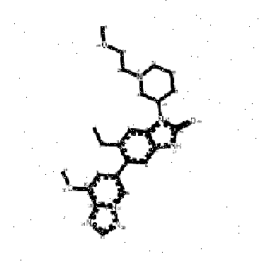 CCc1cc2c(cc1-c1cc(OC)c3ncnn3c1)[nH]c(=O)n2C1CCCN(CCOC)C1